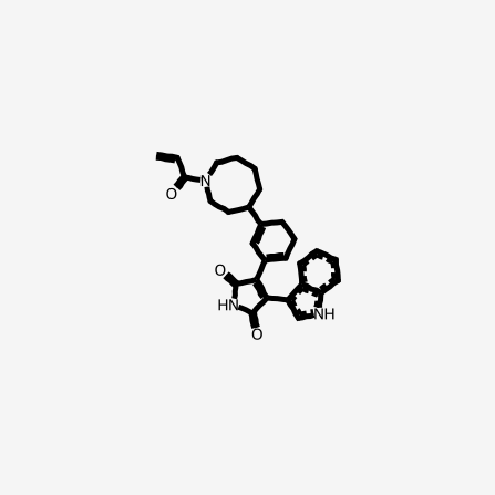 C=CC(=O)N1CCCCC(C2=CC(C3=C(c4c[nH]c5ccccc45)C(=O)NC3=O)=CCC2)CC1